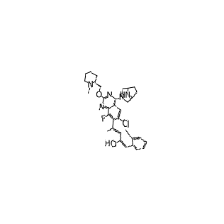 C/C(=C\C(O)=C/c1ccccc1C)c1c(Cl)cc2c(N3CC4CCC(C3)N4)nc(OC[C@@H]3CCCCN3C)nc2c1F